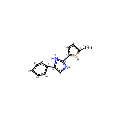 CC(C)(C)c1ccc(-c2ncc(-c3ccccc3)[nH]2)s1